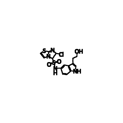 O=S(=O)(Nc1ccc2[nH]cc(CCO)c2c1)C1C(Cl)N=C2SC=CN21